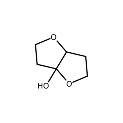 OC12CCOC1CCO2